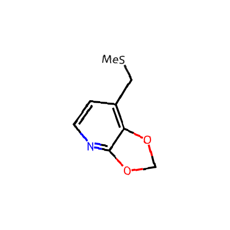 CSCc1ccnc2c1OCO2